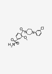 COc1cc(S(N)(=O)=O)ccc1C(=O)N1CCN(c2cccc(Cl)c2)CC1